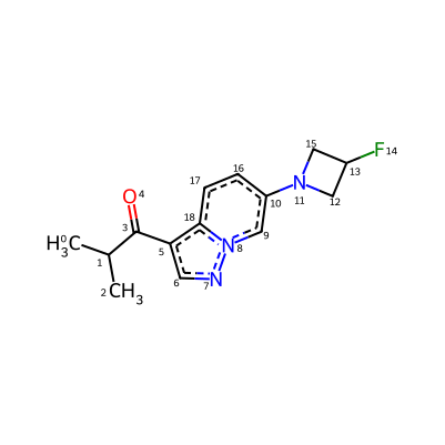 CC(C)C(=O)c1cnn2cc(N3CC(F)C3)ccc12